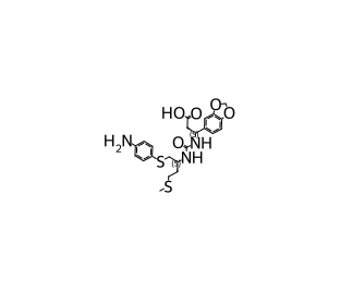 CSCC[C@@H](CSc1ccc(N)cc1)NC(=O)N[C@@H](CC(=O)O)c1ccc2c(c1)OCO2